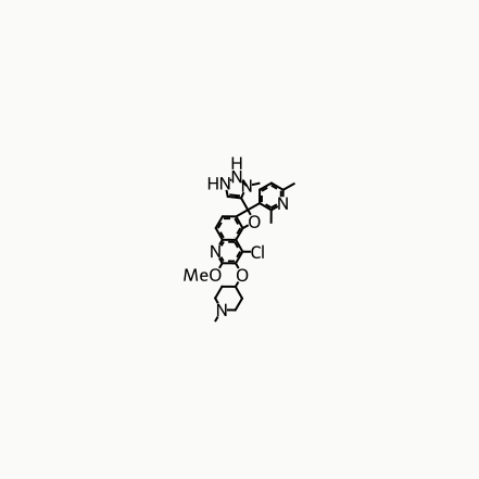 COc1nc2ccc3c(c2c(Cl)c1OC1CCN(C)CC1)OC3(C1=CNNN1C)c1ccc(C)nc1C